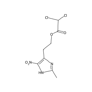 Cc1nc(CCOC(=O)C(Cl)Cl)c([N+](=O)[O-])[nH]1